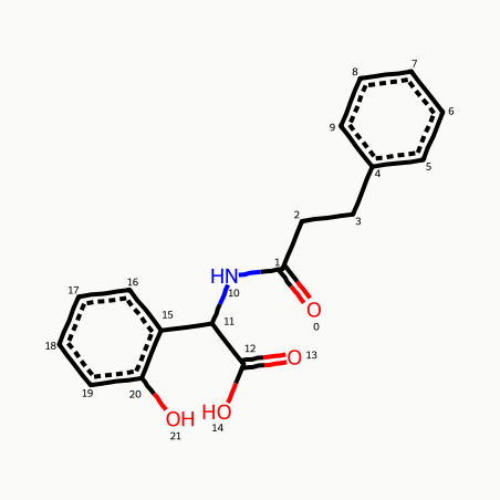 O=C(CCc1ccccc1)NC(C(=O)O)c1ccccc1O